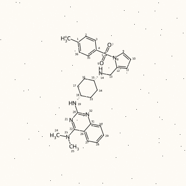 Cc1ccc(S(=O)(=O)n2cccc2CN[C@H]2CC[C@@H](Nc3nc(N(C)C)c4ccccc4n3)CC2)cc1